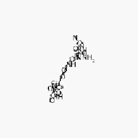 Cn1c(=O)n(C2CCC(=O)NC2=O)c2cccc(CCCOCCOCCNCc3ccc(-n4cc(NC(=O)c5cc(C#N)ccn5)c(C(N)=O)n4)cc3)c21